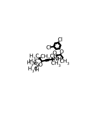 CCC(Oc1cc(Cl)cc(Cl)c1)C(=O)NC(C)(C)C#CC(O[SiH](C)C)C(C)(C)C